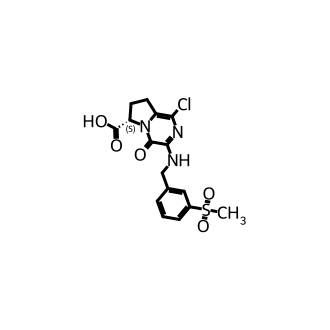 CS(=O)(=O)c1cccc(CNc2nc(Cl)c3n(c2=O)[C@H](C(=O)O)CC3)c1